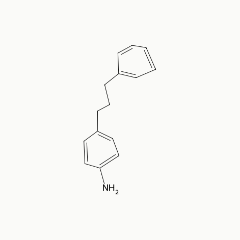 Nc1ccc(CCCc2ccccc2)cc1